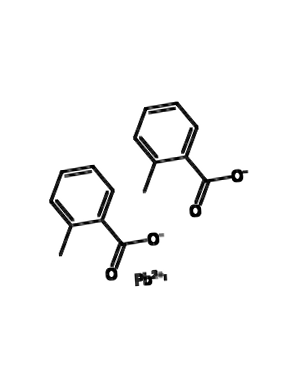 Cc1ccccc1C(=O)[O-].Cc1ccccc1C(=O)[O-].[Pb+2]